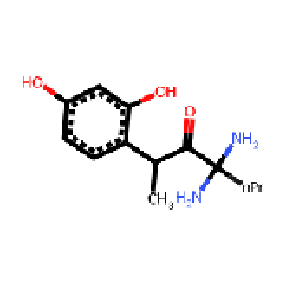 CCCC(N)(N)C(=O)C(C)c1ccc(O)cc1O